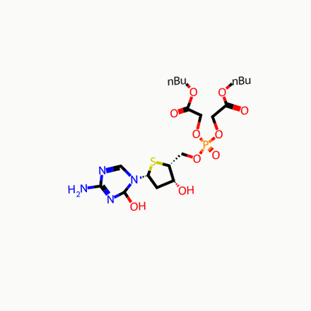 CCCCOC(=O)COP(=O)(OCC(=O)OCCCC)OC[C@H]1S[C@@H](N2C=NC(N)=NC2O)C[C@H]1O